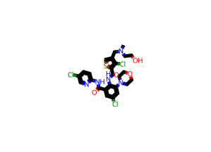 CN(CCO)Cc1csc(C(=O)Nc2c(C(=O)Nc3ccc(Cl)cn3)cc(Cl)cc2N2CCOCC2)c1Cl